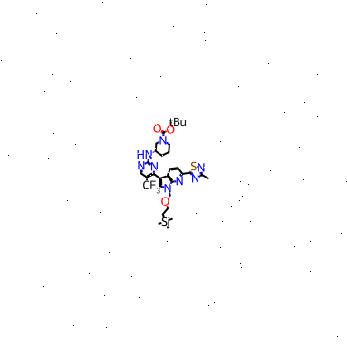 Cc1nsc(-c2ccc3c(-c4nc(N[C@H]5CCCN(C(=O)OC(C)(C)C)C5)ncc4C(F)(F)F)cn(COCC[Si](C)(C)C)c3n2)n1